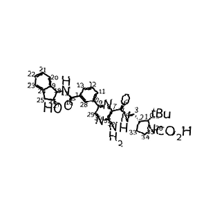 CC(C)(C)C1[C@@H](CNC(=O)c2nc(-c3cccc(C(=O)N[C@@H]4c5ccccc5C[C@@H]4O)c3)cnc2N)CCN1C(=O)O